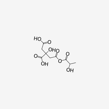 CC(O)C(=O)OC(=O)CC(O)(CC(=O)O)C(=O)O